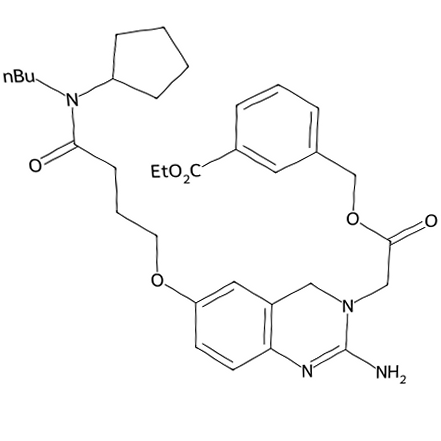 CCCCN(C(=O)CCCOc1ccc2c(c1)CN(CC(=O)OCc1cccc(C(=O)OCC)c1)C(N)=N2)C1CCCC1